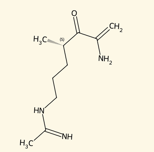 C=C(N)C(=O)[C@@H](C)CCCNC(C)=N